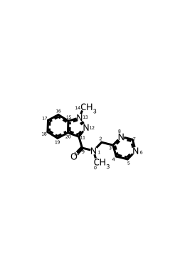 CN(Cc1ccncn1)C(=O)c1nn(C)c2ccccc12